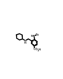 CCNc1ccc(C(=O)O)cc1CNC1CCCCC1